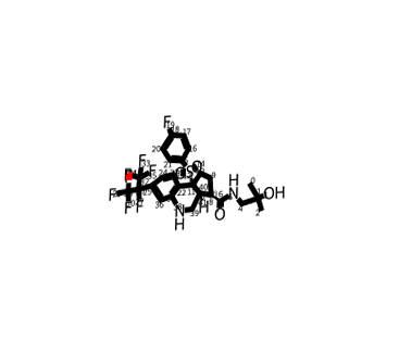 CC(C)(O)CNC(=O)[C@@H]1CC[C@@]2(S(=O)(=O)c3ccc(F)cc3)c3ccc(C(F)(C(F)(F)F)C(F)(F)F)cc3NC[C@@H]12